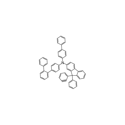 c1cccc(C2(c3ccccc3)c3ccccc3-c3ccc(N(c4ccc(-c5ccccc5)cc4)c4ccc(-c5ccccc5-c5ccccc5)cc4)cc32)c#1